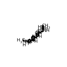 CNCOc1ccc(-c2cnc3c(Nc4ccc(C(=O)NCCC(=N)NNNC)c(Cl)c4)nccn23)c(F)c1F